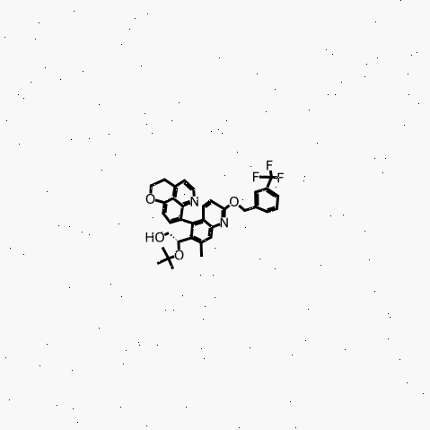 Cc1cc2nc(OCc3cccc(C(F)(F)F)c3)ccc2c(-c2ccc3c4c(ccnc24)CCO3)c1[C@@H](CO)OC(C)(C)C